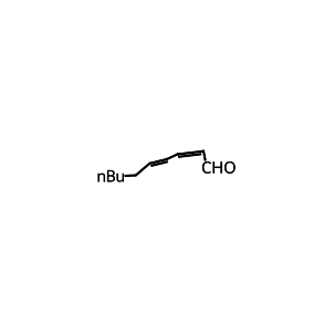 CCCCC/C=C/C=C\C=O